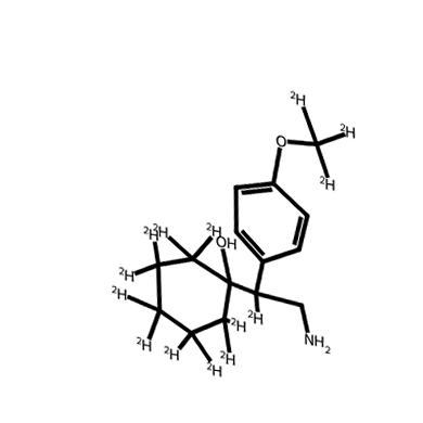 [2H]C([2H])([2H])Oc1ccc(C([2H])(CN)C2(O)C([2H])([2H])C([2H])([2H])C([2H])([2H])C([2H])([2H])C2([2H])[2H])cc1